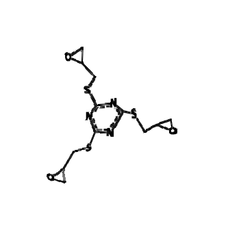 C1OC1CSc1nc(SCC2CO2)nc(SCC2CO2)n1